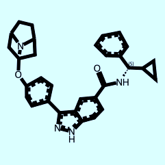 CN1C2CCC1CC(Oc1ccc(-c3n[nH]c4ccc(C(=O)N[C@H](c5ccccc5)C5CC5)cc34)cc1)C2